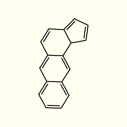 [C]1=Cc2cc3ccccc3cc2C2C=CC=C12